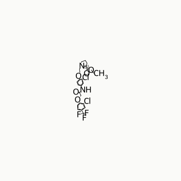 CCOC(=O)[C@@H]1CCCN1CCOc1ccc(NC(=O)COc2ccc(C(F)(F)F)cc2Cl)cc1Cl